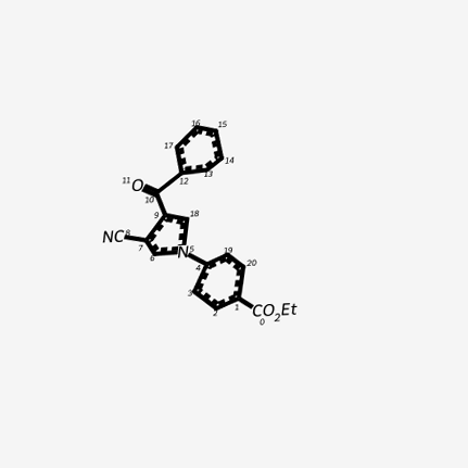 CCOC(=O)c1ccc(-n2cc(C#N)c(C(=O)c3ccccc3)c2)cc1